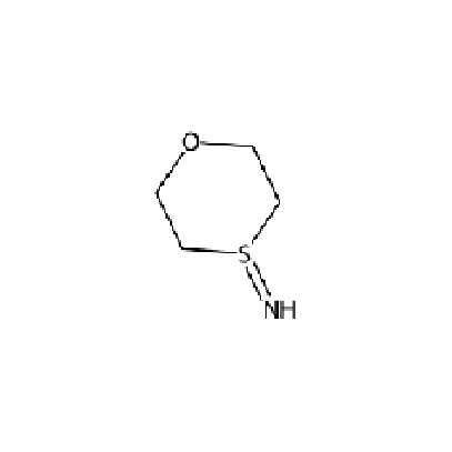 N=S1CCOCC1